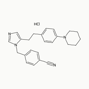 Cl.N#Cc1ccc(Cn2cncc2CCc2ccc(N3CCCCC3)cc2)cc1